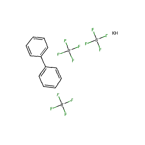 F[B-](F)(F)F.F[B-](F)(F)F.F[B-](F)(F)F.[KH].c1ccc(-c2ccccc2)cc1